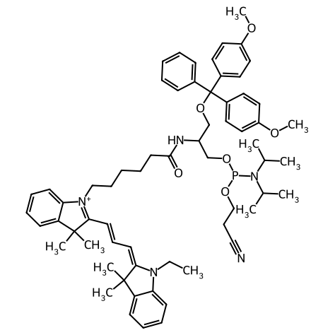 CCN1/C(=C/C=C/C2=[N+](CCCCCC(=O)NC(COP(OCCC#N)N(C(C)C)C(C)C)COC(c3ccccc3)(c3ccc(OC)cc3)c3ccc(OC)cc3)c3ccccc3C2(C)C)C(C)(C)c2ccccc21